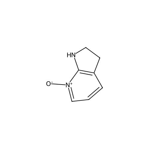 [O-][n+]1cccc2c1NCC2